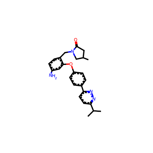 CC1CC(=O)N(Cc2ccc(N)cc2Oc2ccc(-c3ccc(C(C)C)nn3)cc2)C1